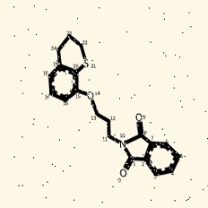 O=C1c2ccccc2C(=O)N1CCCOc1cccc2c1SCCC2